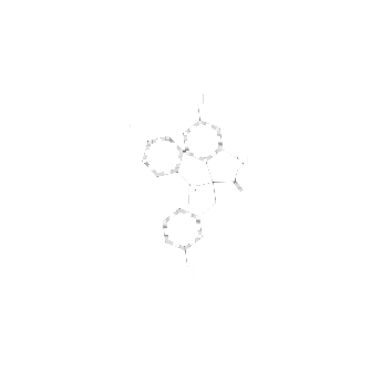 O=C1Nc2cc(Cl)ccc2C1(Cc1cccc(Cl)c1)Nc1ccc(C(F)(F)F)cc1